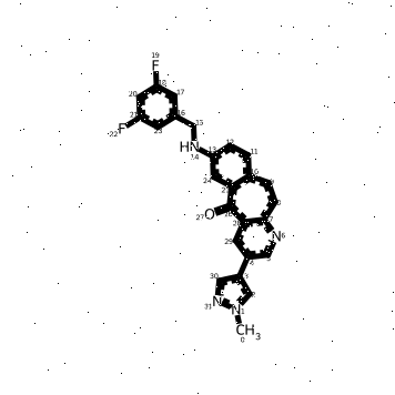 Cn1cc(-c2cnc3ccc4ccc(NCc5cc(F)cc(F)c5)cc4c(=O)c3c2)cn1